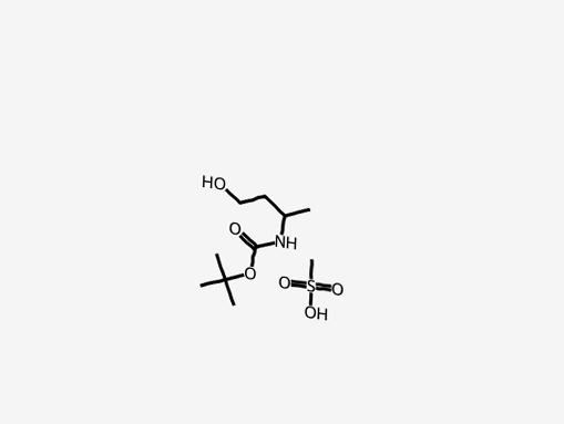 CC(CCO)NC(=O)OC(C)(C)C.CS(=O)(=O)O